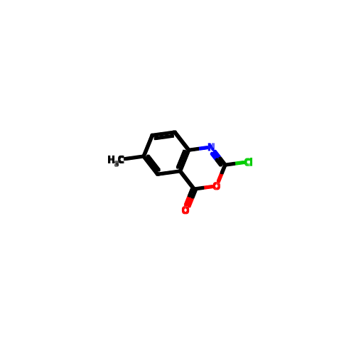 Cc1ccc2nc(Cl)oc(=O)c2c1